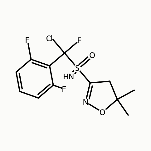 CC1(C)CC(S(=N)(=O)C(F)(Cl)c2c(F)cccc2F)=NO1